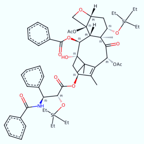 CC[Si](CC)(CC)O[C@H]1C[C@H]2OC[C@@]2(OC(C)=O)[C@H]2[C@H](OC(=O)c3ccccc3)[C@]3(O)C[C@H](OC(=O)[C@H](O[Si](CC)(CC)CC)[C@@H](NC(=O)c4ccccc4)c4ccccc4)C(C)=C([C@@H](OC(C)=O)C(=O)[C@]12C)C3(C)C